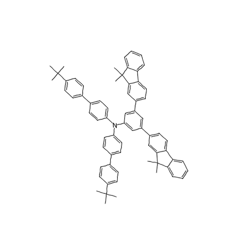 CC(C)(C)c1ccc(-c2ccc(N(c3ccc(-c4ccc(C(C)(C)C)cc4)cc3)c3cc(-c4ccc5c(c4)C(C)(C)c4ccccc4-5)cc(-c4ccc5c(c4)C(C)(C)c4ccccc4-5)c3)cc2)cc1